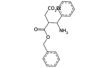 CCOC(=O)CC(C(=O)OCc1ccccc1)C(N)c1ccccc1